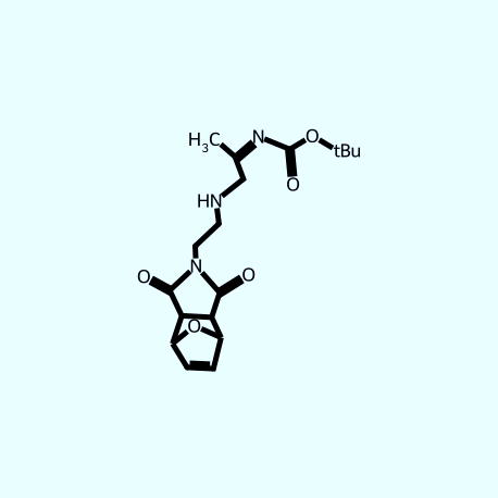 C/C(CNCCN1C(=O)C2C3C=CC(O3)C2C1=O)=N/C(=O)OC(C)(C)C